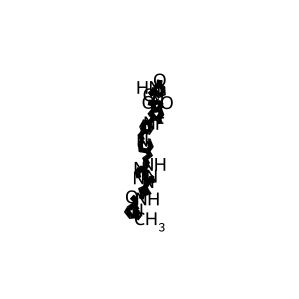 Cc1cccc(C(=O)NC2CC(n3cnc4c(NCCC5CCN(CC6CCN(c7cc8c(cc7F)C(=O)N([C@H]7CCC(=O)NC7=O)C8=O)CC6)CC5)ncnc43)C2)n1